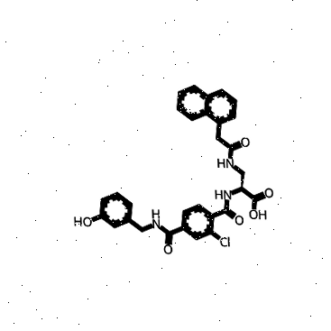 O=C(Cc1cccc2ccccc12)NC[C@H](NC(=O)c1ccc(C(=O)NCc2cccc(O)c2)cc1Cl)C(=O)O